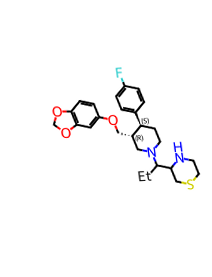 CCC(C1CSCCN1)N1CC[C@H](c2ccc(F)cc2)[C@@H](COc2ccc3c(c2)OCO3)C1